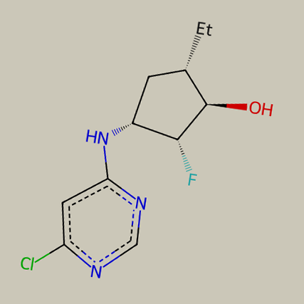 CC[C@H]1C[C@@H](Nc2cc(Cl)ncn2)[C@@H](F)[C@@H]1O